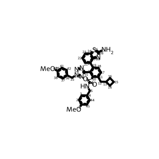 COc1ccc(CNS(=O)(=O)c2c(CC3CCC3)ccc(-c3cccc4sc(N)nc34)c2-c2nnn(Cc3ccc(OC)cc3)n2)cc1